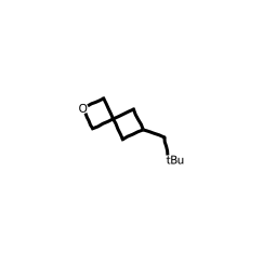 CC(C)(C)CC1CC2(COC2)C1